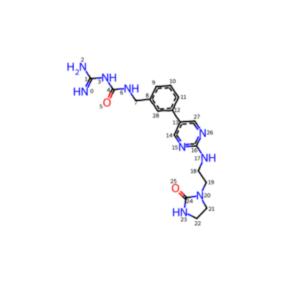 N=C(N)NC(=O)NCc1cccc(-c2cnc(NCCN3CCNC3=O)nc2)c1